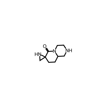 O=C1N2CCNCC2CCC12CN2